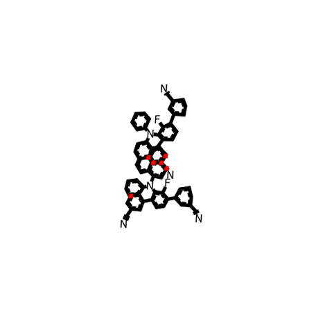 N#Cc1cccc(-c2ccc(-c3cccc(C#N)c3)c(N(c3ccccc3)c3ccc4ccc5c(N(c6ccccc6)c6c(-c7cccc(C#N)c7)ccc(-c7cccc(C#N)c7)c6F)ccc6ccc3c4c65)c2F)c1